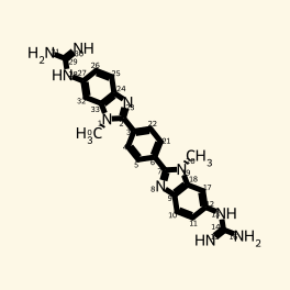 Cn1c(-c2ccc(-c3nc4ccc(NC(=N)N)cc4n3C)cc2)nc2ccc(NC(=N)N)cc21